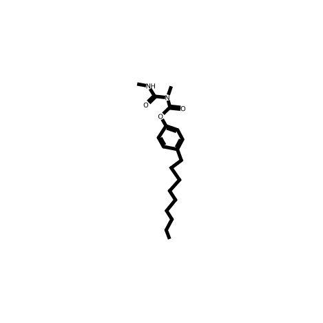 CCCCCCCCCc1ccc(OC(=O)N(C)C(=O)NC)cc1